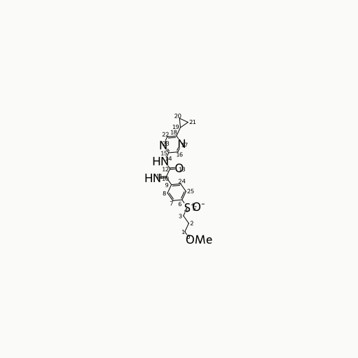 COCCC[S+]([O-])c1ccc(C(=N)C(=O)Nc2cnc(C3CC3)cn2)cc1